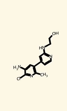 Cc1nc(Cl)c(N)cc1-c1ccnc(NCCO)c1